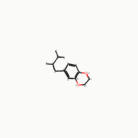 CC(C)C(C)Cc1ccc2c(c1)OCCO2